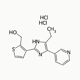 CCc1[nH]c(-c2ccsc2CO)nc1-c1cccnc1.Cl.Cl